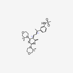 C=c1nc(N2CCOC[C@@H]2C)nc(N2CCOC[C@@H]2C)/c1=C/C=C(\C)c1cccc(NS(C)(=O)=O)c1